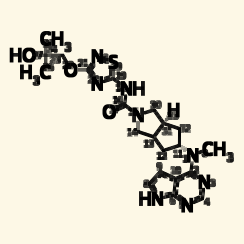 CN(c1ncnc2[nH]ccc12)[C@@H]1CC2CN(C(=O)Nc3nc(OCC(C)(C)O)ns3)C[C@H]2C1